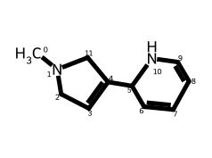 CN1CC=C(C2C=CC=CN2)C1